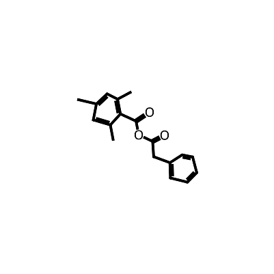 Cc1cc(C)c(C(=O)OC(=O)Cc2ccccc2)c(C)c1